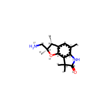 Cc1cc2c(c3c1NC(=O)C3(C)C)O[C@@](C)(CN)[C@@H]2C